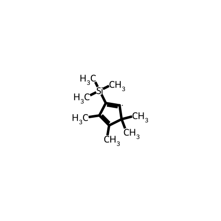 CC1=C(C)C(C)(C)[C]=C1[Si](C)(C)C